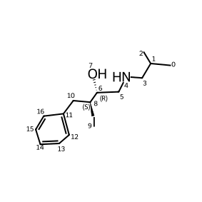 CC(C)CNC[C@@H](O)[C@@H](I)Cc1ccccc1